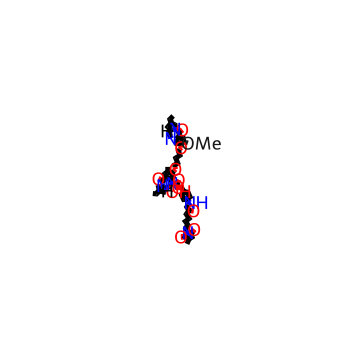 CC=C1C[C@H]2C=Nc3cc(OCCCCCOc4cc5c(cc4C)C(=O)N4CC(=CC)C[C@H]4[C@H](O)N5C(=O)OCc4ccc(NCC(=O)CCCCCN5C(=O)CC(C)C5=O)cc4)c(OC)cc3C(=O)N2C1